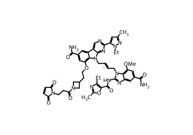 CCc1nc(C)oc1C(=O)Nc1nc2cc(C(N)=O)cc(OC)c2n1C/C=C/Cn1c2nc(-c3cc(C)nn3CC)ncc2c2cc(C(N)=O)cc(OCCC3CN(C(=O)CCN4C(=O)C=CC4=O)C3)c21